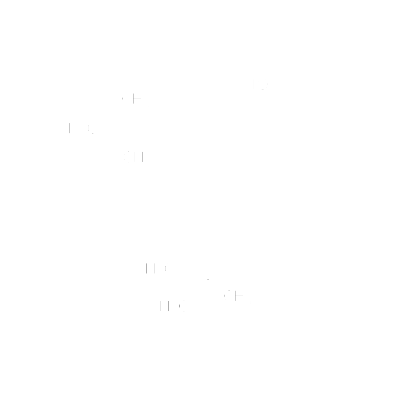 CC(C)(C)C1CCC(c2cccc(O)c2C2CCC(C(C)(C)C)CC2)CC1